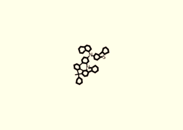 CC1(c2ccccc2)c2cccc3c2-c2c1ccc1c4ccccc4n(c21)-c1cc(N(c2ccc4sc5ccccc5c4c2)c2cccc4ccccc24)ccc1-3